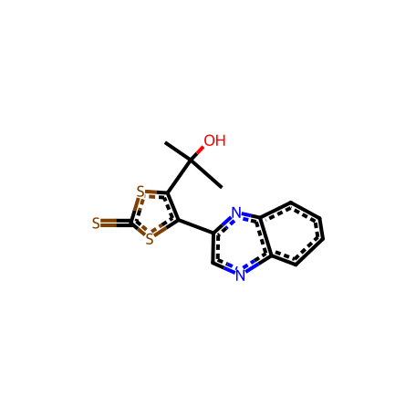 CC(C)(O)c1sc(=S)sc1-c1cnc2ccccc2n1